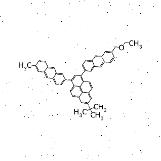 CCOCc1ccc2cc3cc(-c4cc(-c5ccc6cc7cc(C)ccc7cc6c5)c5ccc6cc(C(C)(C)C)cc7ccc4c5c67)ccc3cc2c1